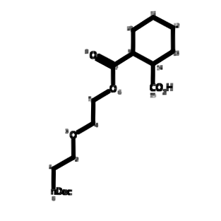 CCCCCCCCCCCCOCCOC(=O)C1CCCCC1C(=O)O